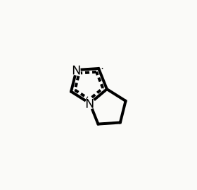 [c]1ncn2c1CCC2